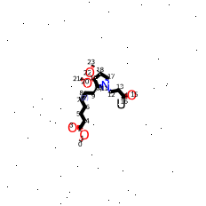 COC(=O)CCC/C=C\C[C@@H]1N(CC[C](=O)[U])CCC1(OC)OC